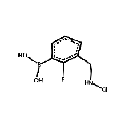 OB(O)c1cccc(CNCl)c1F